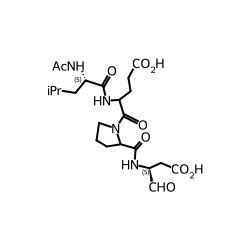 CC(=O)N[C@@H](CC(C)C)C(=O)NC(CCC(=O)O)C(=O)N1CCCC1C(=O)N[C@H](C=O)CC(=O)O